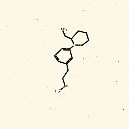 CCC1CCCCN1c1cccc(CCNC)c1